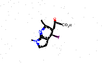 Cc1nc2c(ccn2C)c(I)c1C(=O)C(=O)O